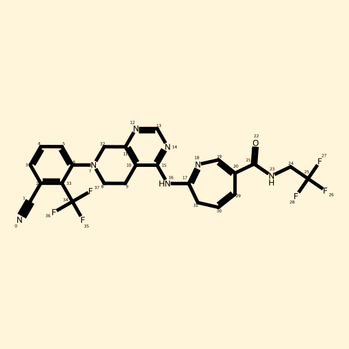 N#Cc1cccc(N2CCc3c(ncnc3NC3=NC=C(C(=O)NCC(F)(F)F)C=CC3)C2)c1C(F)(F)F